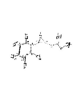 OCC(O)CC1OC1c1c(Cl)c(Cl)c(Cl)c(Cl)c1Cl